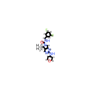 CC1(C)c2cnc(NC3CCOCC3)nc2CN1C(=O)NCc1cc(F)cc(F)c1